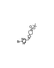 CC(C)(C)OC(=O)N1CCC2(CC1)CN(Cc1cnc(Br)nc1)C2